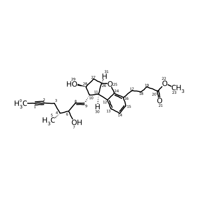 CC#CC[C@@H](C)C(O)/C=C/[C@H]1[C@@H]2c3cccc(CCCC(=O)OC)c3O[C@@H]2C[C@@H]1O